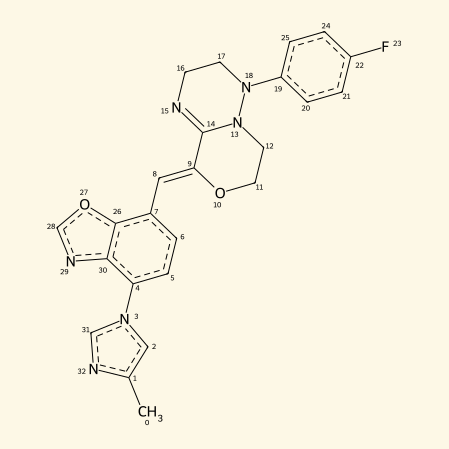 Cc1cn(-c2ccc(/C=C3\OCCN4C3=NCCN4c3ccc(F)cc3)c3ocnc23)cn1